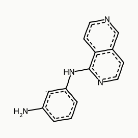 Nc1[c]c(Nc2nccc3cnccc23)ccc1